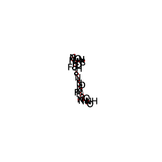 Cn1nc(N2CCC(=O)NC2=O)c2ccc([C@@H]3CCN(CC(=O)N4CC5(C4)CN(c4ccc(-c6cc(F)c7c(c6)C(=O)N(C(C(=O)Nc6nccs6)c6ncn8c6CCC8)C7)cc4)C5)CC3(F)F)cc21